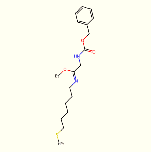 [CH2]CCSCCCCCCN=C(CNC(=O)OCc1ccccc1)OCC